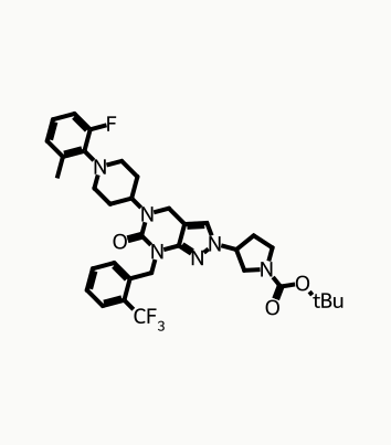 Cc1cccc(F)c1N1CCC(N2Cc3cn(C4CCN(C(=O)OC(C)(C)C)C4)nc3N(Cc3ccccc3C(F)(F)F)C2=O)CC1